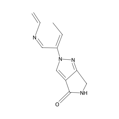 C=C/N=C\C(=C/C)n1cc2c(n1)CNC2=O